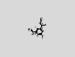 [CH2]C(CF)c1cc(F)cc(C=C)c1